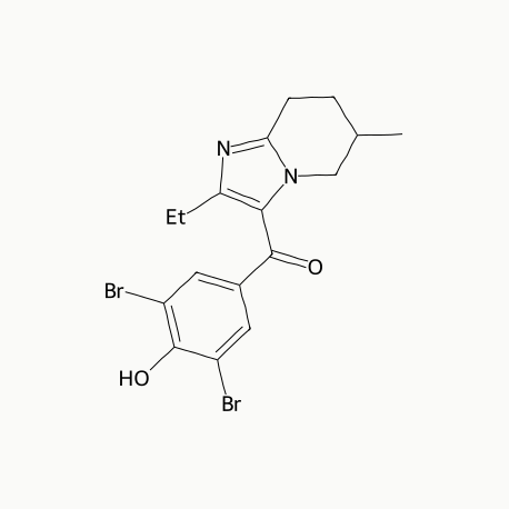 CCc1nc2n(c1C(=O)c1cc(Br)c(O)c(Br)c1)CC(C)CC2